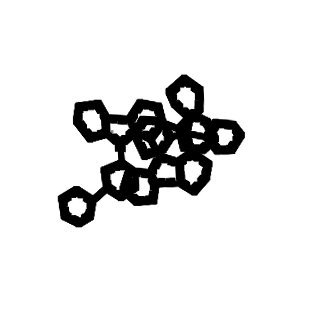 c1ccc(-c2cccc(-n3c4ccccc4c4ccc(-c5ccccc5)c(-n5c6ccccc6c6cccc([Si](c7ccccc7)(c7ccccc7)c7ccccc7)c65)c43)c2)cc1